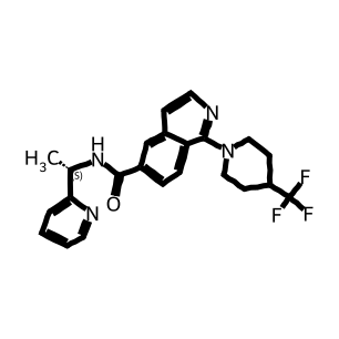 C[C@H](NC(=O)c1ccc2c(N3CCC(C(F)(F)F)CC3)nccc2c1)c1ccccn1